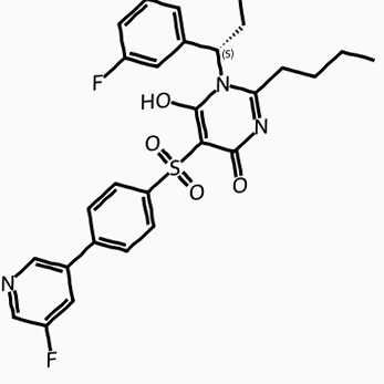 CCCCc1nc(=O)c(S(=O)(=O)c2ccc(-c3cncc(F)c3)cc2)c(O)n1[C@@H](CC)c1cccc(F)c1